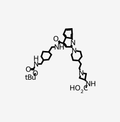 CC(C)(C)OC(=O)NCC1CCC(CNC(=O)c2cc(N3CCC(CCN4CC(NC(=O)O)C4)CC3)nc3ccccc23)CC1